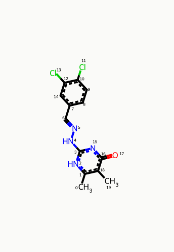 Cc1[nH]c(NN=Cc2ccc(Cl)c(Cl)c2)nc(=O)c1C